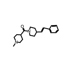 CN1CCC(C(=O)N2CCC(/C=C/c3ccccc3)CC2)CC1